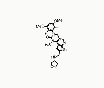 COc1cc(OC)c(F)c(N2Cc3cnc4[nH]c(CNC5CCOC5)cc4c3N(C)C2=O)c1F